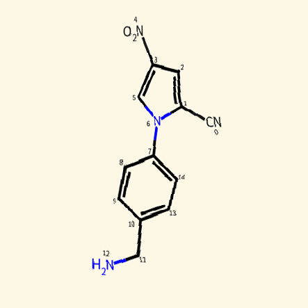 N#Cc1cc([N+](=O)[O-])cn1-c1ccc(CN)cc1